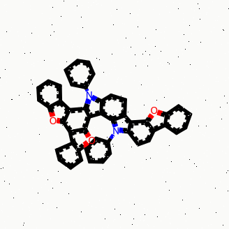 c1ccc(-n2c3ccc4c5ccccc5oc4c3c3ccc4c(c5c6oc7ccccc7c6c6oc7ccccc7c6c5n4-c4ccccc4)c32)cc1